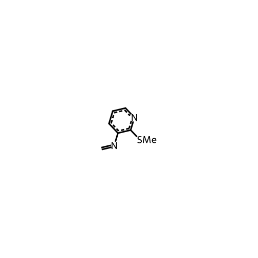 C=Nc1cccnc1SC